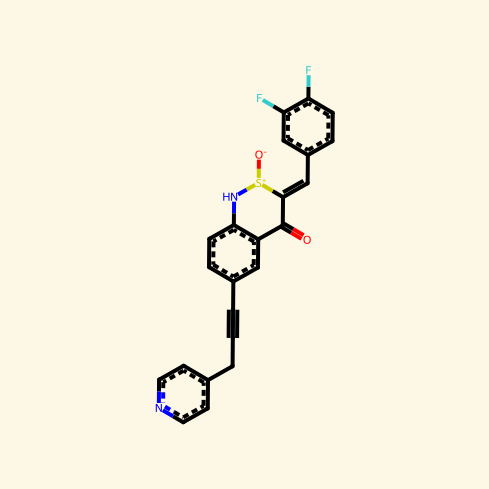 O=C1/C(=C/c2ccc(F)c(F)c2)[S+]([O-])Nc2ccc(C#CCc3ccncc3)cc21